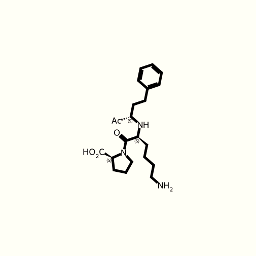 CC(=O)[C@H](CCc1ccccc1)N[C@@H](CCCCN)C(=O)N1CCC[C@H]1C(=O)O